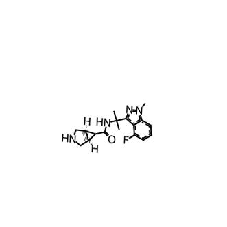 Cn1nc(C(C)(C)NC(=O)C2[C@H]3CNC[C@@H]23)c2c(F)cccc21